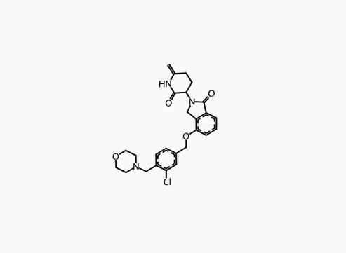 C=C1CCC(N2Cc3c(OCc4ccc(CN5CCOCC5)c(Cl)c4)cccc3C2=O)C(=O)N1